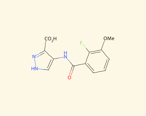 COc1cccc(C(=O)Nc2c[nH]nc2C(=O)O)c1F